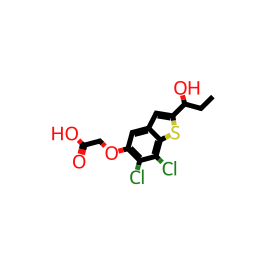 CCC(O)c1cc2cc(OCC(=O)O)c(Cl)c(Cl)c2s1